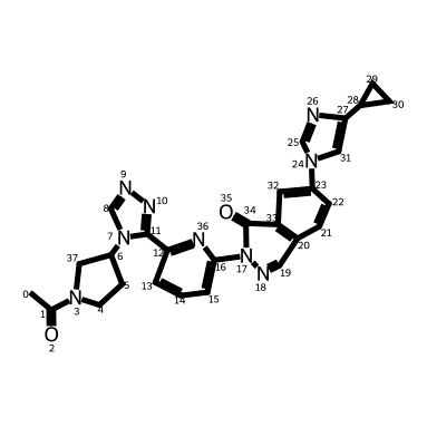 CC(=O)N1CCC(n2cnnc2-c2cccc(-n3ncc4ccc(-n5cnc(C6CC6)c5)cc4c3=O)n2)C1